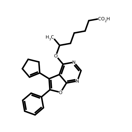 CC(CCCCC(=O)O)Oc1ncnc2oc(-c3ccccc3)c(C3=CCCC3)c12